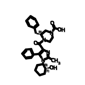 Cc1nc(C(=O)N2CCN(C(=O)O)C[C@H]2Cc2ccccc2)c(-c2ccccc2)n1[C@@H]1CCCC[C@H]1O